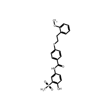 CS(=O)(=O)c1cc(NC(=O)c2ccc(SCCc3ccccc3OC(F)(F)F)cc2)ccc1O